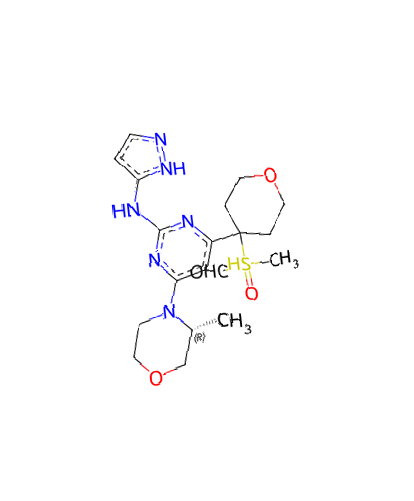 C[C@@H]1COCCN1c1cc(C2([SH](C)(=O)C=O)CCOCC2)nc(Nc2ccn[nH]2)n1